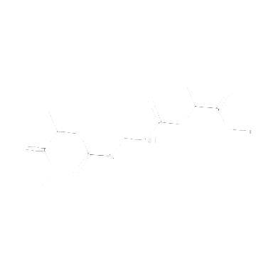 CC(C)OC(=O)C(C)OC(=O)NCNC(=O)OC(C)C(=O)OC(C)C